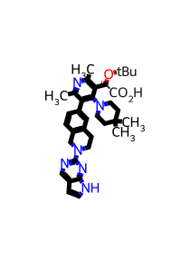 Cc1nc(C)c([C@H](OC(C)(C)C)C(=O)O)c(N2CCC(C)(C)CC2)c1-c1ccc2c(c1)CCN(c1ncc3cc[nH]c3n1)C2